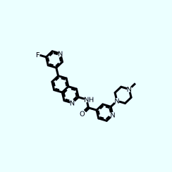 CN1CCN(c2cc(C(=O)Nc3cc4cc(-c5cncc(F)c5)ccc4cn3)ccn2)CC1